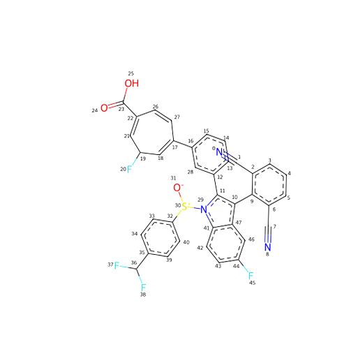 N#Cc1cccc(C#N)c1-c1c(-c2cccc(C3=CC(F)C=C(C(=O)O)C=C3)c2)n([S+]([O-])c2ccc(C(F)F)cc2)c2ccc(F)cc12